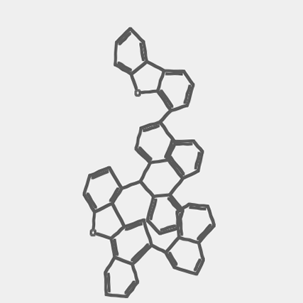 c1ccc(-c2ccccc2C(c2ccc(-c3cccc4c3oc3ccccc34)cc2)c2cccc3oc4c5ccccc5c(-c5cccc6ccccc56)cc4c23)cc1